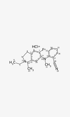 CCN1CCc2cc(F)c(N(C)c3ccccc3C#N)cc2C1C.Cl